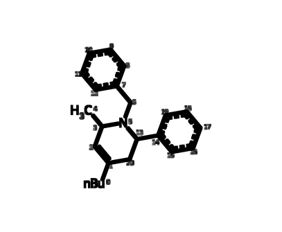 CCCCC1=CC(C)N(Cc2ccccc2)C(c2ccccc2)C1